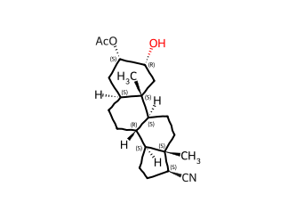 CC(=O)O[C@H]1C[C@@H]2CC[C@@H]3[C@H](CC[C@]4(C)[C@@H](C#N)CC[C@@H]34)[C@@]2(C)C[C@H]1O